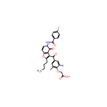 CCCCc1oc2c(c1C(=O)c1cc(I)c(OCC(=O)O)c(I)c1)C(=O)C(NC(=O)c1ccc(F)cc1)C=C2